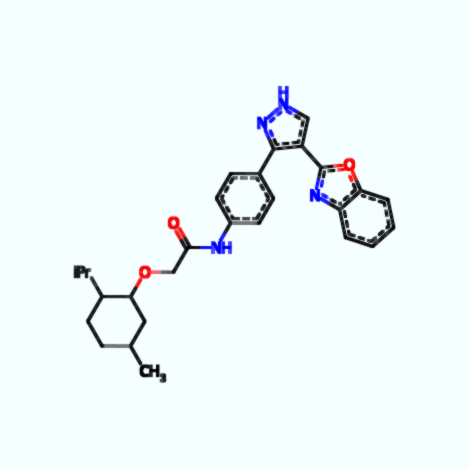 CC1CCC(C(C)C)C(OCC(=O)Nc2ccc(-c3n[nH]cc3-c3nc4ccccc4o3)cc2)C1